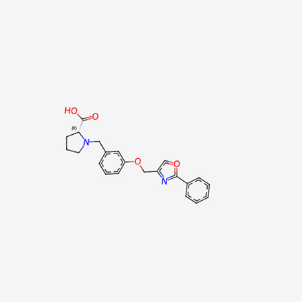 O=C(O)[C@H]1CCCN1Cc1cccc(OCc2coc(-c3ccccc3)n2)c1